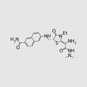 CCN1C(=O)[C@@H](CNc2ccc3cc(C(N)=O)ccc3c2)S/C1=C(/N)C(=O)NN(C)C